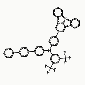 FC(F)(F)c1cc(N(c2ccc(-c3ccc(-c4ccccc4)cc3)cc2)c2ccc(-c3cc4c5ccccc5n5c6ccccc6c(c3)c45)cc2)cc(C(F)(F)F)c1